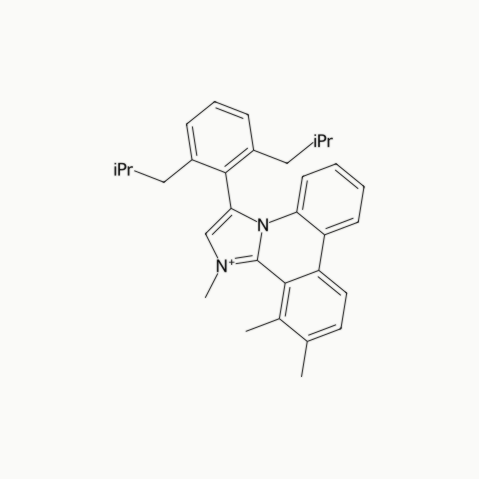 Cc1ccc2c3ccccc3n3c(-c4c(CC(C)C)cccc4CC(C)C)c[n+](C)c3c2c1C